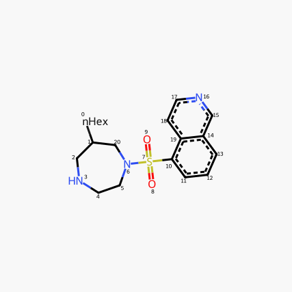 CCCCCCC1CNCCN(S(=O)(=O)c2cccc3cnccc23)C1